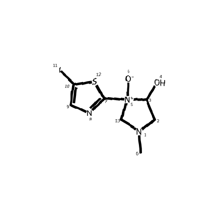 CN1CC(O)[N+]([O-])(c2ncc(I)s2)C1